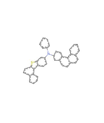 c1ccc(N(c2ccc3c(ccc4ccc5ccccc5c43)c2)c2ccc3c(c2)sc2ccc4ccccc4c23)cc1